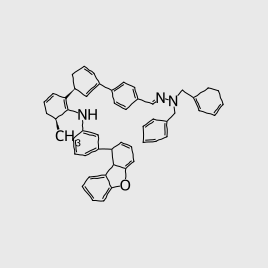 C[C@H]1CC=CC([C@@H]2C=C(c3ccc(/C=N/N(CC4=CC=CCC4)Cc4ccccc4)cc3)C=CC2)=C1Nc1cccc(C2C=CC=C3Oc4ccccc4C32)c1